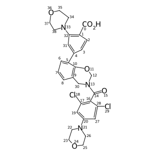 O=C(O)c1ccc(-c2cccc3c2OCN(C(=O)c2c(Cl)cc(N4CCOCC4)cc2Cl)C3)cc1N1CCOCC1